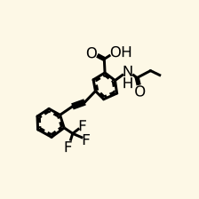 CCC(=O)Nc1ccc(C#Cc2ccccc2C(F)(F)F)cc1C(=O)O